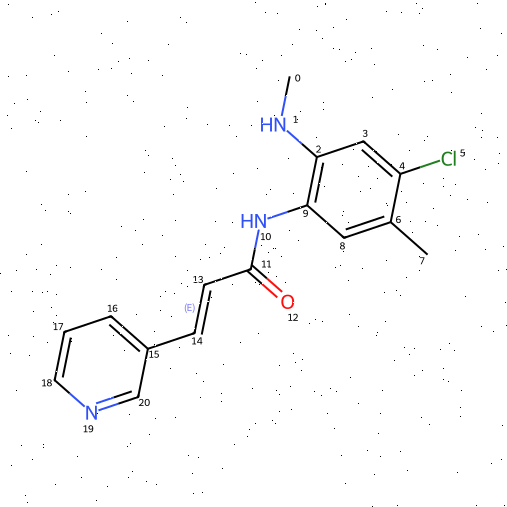 CNc1cc(Cl)c(C)cc1NC(=O)/C=C/c1cccnc1